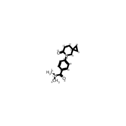 CN(C)C(=O)c1ccc(N2CC3(CCC2=O)CC3)cc1